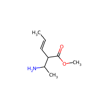 CC=CC(C(=O)OC)C(C)N